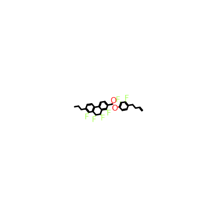 C=CCCc1ccc(OC(=O)c2ccc3c(c2F)C(F)C(F)c2c-3ccc(CCC)c2F)c(F)c1F